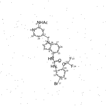 CC(=O)Nc1cc(Cn2ccc3c(NC(=O)Nc4cc(Br)ccc4OC(F)F)cccc32)ccn1